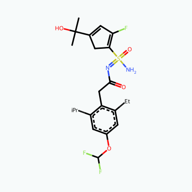 CCc1cc(OC(F)F)cc(C(C)C)c1CC(=O)N=S(N)(=O)C1=C(F)C=C(C(C)(C)O)C1